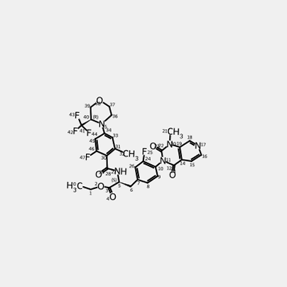 CCOC(=O)[C@H](Cc1ccc(-n2c(=O)c3ccncc3n(C)c2=O)c(F)c1)NC(=O)c1c(C)cc(N2CCOC[C@@H]2C(F)(F)F)cc1F